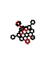 N#Cc1c(-c2ccncc2)c(-c2c(-c3ccccc3)cccc2-c2ccccc2)c(-n2c3ccc(-c4ccccc4)cc3c3cc(-c4ccccc4)ccc32)c(-n2c3ccc(-c4ccccc4)cc3c3cc(-c4ccccc4)ccc32)c1-c1c(-c2ccccc2)cccc1-c1ccccc1